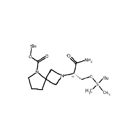 CC(C)(C)OC(=O)N1CCCC12CN([C@@H](CO[Si](C)(C)C(C)(C)C)C(N)=O)C2